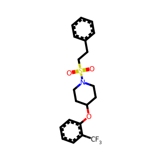 O=S(=O)(CCc1ccccc1)N1CCC(Oc2ccccc2C(F)(F)F)CC1